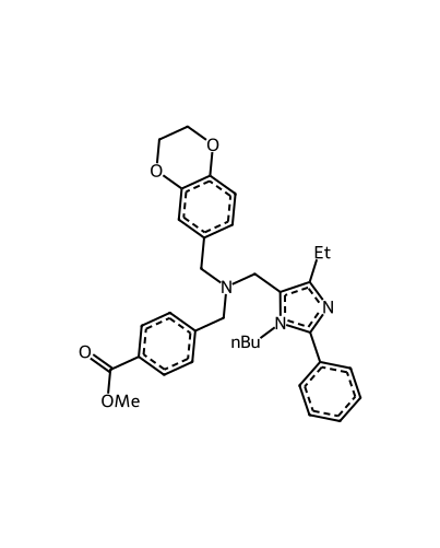 CCCCn1c(-c2ccccc2)nc(CC)c1CN(Cc1ccc(C(=O)OC)cc1)Cc1ccc2c(c1)OCCO2